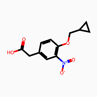 O=C(O)Cc1ccc(OCC2CC2)c([N+](=O)[O-])c1